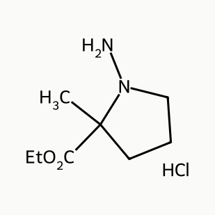 CCOC(=O)C1(C)CCCN1N.Cl